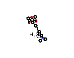 CC1(C)c2cc(/C=C/c3ccc(-c4ccc5c(c4)C4(c6ccccc6-c6ccccc64)c4ccccc4C54c5ccccc5-c5ccccc54)cc3)ccc2-c2ccc(N(c3ccccc3)c3ccccc3)cc21